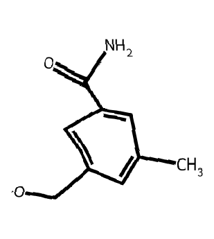 Cc1cc(C[O])cc(C(N)=O)c1